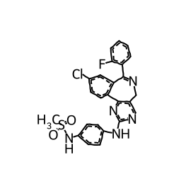 CS(=O)(=O)Nc1ccc(Nc2ncc3c(n2)-c2ccc(Cl)cc2C(c2ccccc2F)=NC3)cc1